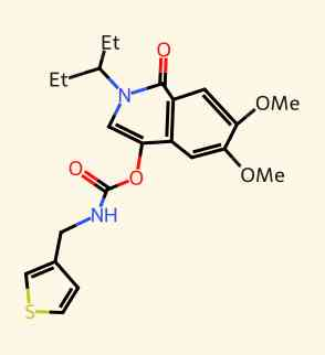 CCC(CC)n1cc(OC(=O)NCc2ccsc2)c2cc(OC)c(OC)cc2c1=O